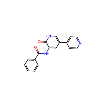 O=C(Nc1cc(-c2ccncc2)c[nH]c1=O)c1ccccc1